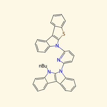 CCCCn1c2ccccc2c2c3ccccc3n(-c3cccc(-n4c5ccccc5c5c6ccccc6sc54)n3)c21